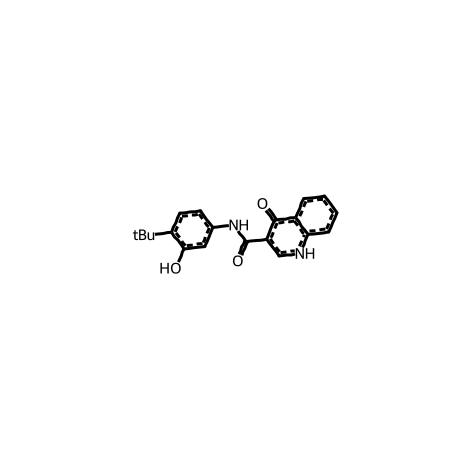 CC(C)(C)c1ccc(NC(=O)c2c[nH]c3ccccc3c2=O)cc1O